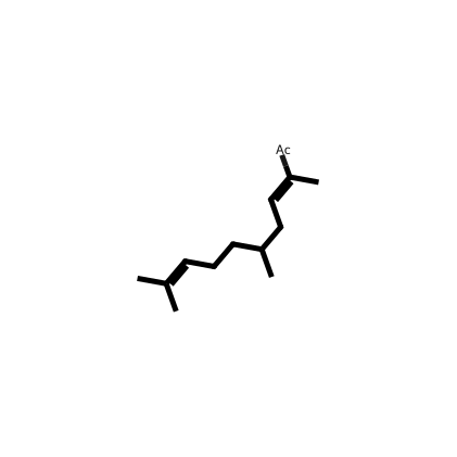 CC(=O)/C(C)=C/CC(C)CCC=C(C)C